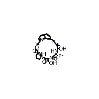 CC(C)[C@@H]1NC(O)C(C)(C)/C=C/c2ccc3ccc(nc3c2)[C@@H](C)OC(=O)[C@@H]2CCCN(N2)C(=O)[C@H]([C@@H](C)O)NC1=O